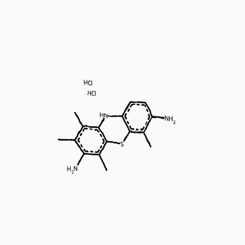 Cc1c(C)c2c(c(C)c1N)Sc1c(ccc(N)c1C)N2.Cl.Cl